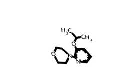 CC(C)Oc1cccnc1N1CCOCC1